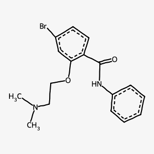 CN(C)CCOc1cc(Br)ccc1C(=O)Nc1ccccc1